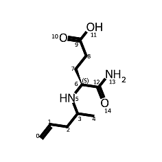 C=CCC(C)N[C@@H](CCC(=O)O)C(N)=O